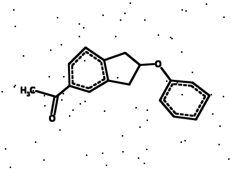 CC(=O)c1ccc2c(c1)CC(Oc1ccccc1)C2